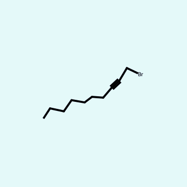 CCCCCCCC#CCBr